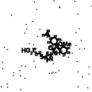 CO[C@]1(N(C(=O)Nc2ncc(SCCC(=O)O)s2)C2CCCCC2)CC[C@H](C2CC2)CC1